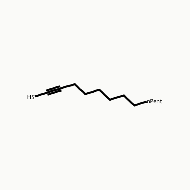 CCCCCCCCCCCC#CS